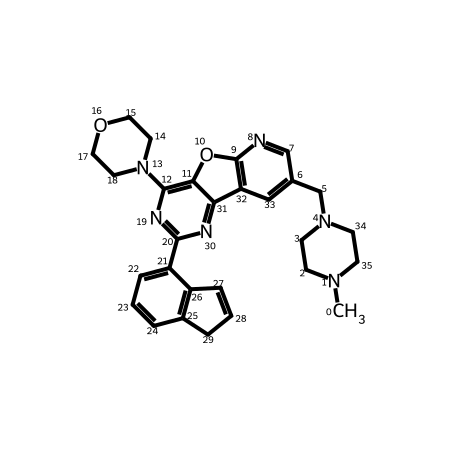 CN1CCN(Cc2cnc3oc4c(N5CCOCC5)nc(-c5cccc6c5C=CC6)nc4c3c2)CC1